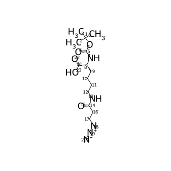 CC(C)(C)OC(=O)N[C@@H](CCCCNC(=O)CCN=[N+]=[N-])C(=O)O